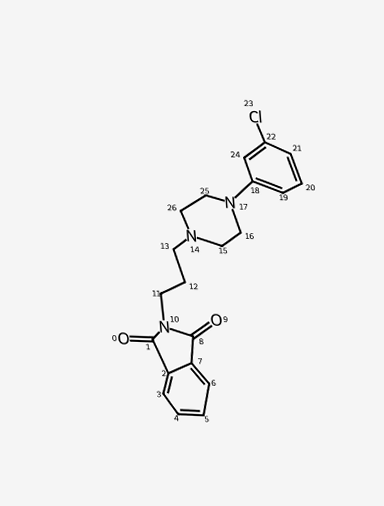 O=C1c2ccccc2C(=O)N1CCCN1CCN(c2cccc(Cl)c2)CC1